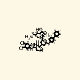 CC(C)CC(NC(=O)C(CCCc1ccc(-c2ccccc2)cc1)CC(=O)NO)c1nc2cc(Cl)c(Cl)cc2[nH]1.CCCCCC(=O)O